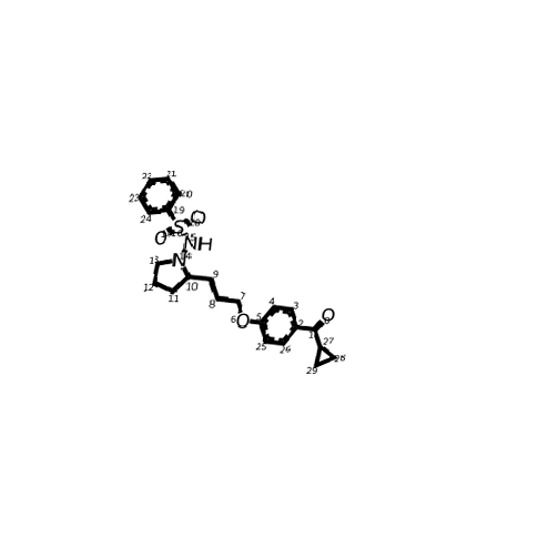 O=C(c1ccc(OCCCC2CCCN2NS(=O)(=O)c2ccccc2)cc1)C1CC1